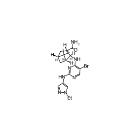 CCn1cc(Nc2ncc(Br)c(N[C@H]3[C@@H](C(N)=O)C[C@H]4C[C@@H]3C4(C)C)n2)cn1